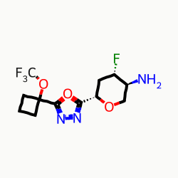 N[C@H]1CO[C@H](c2nnc(C3(OC(F)(F)F)CCC3)o2)C[C@@H]1F